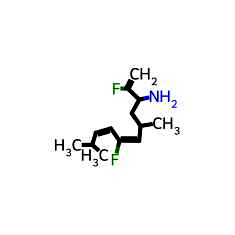 C=C(F)C(N)CC(C)/C=C(F)\C=C/C(C)C